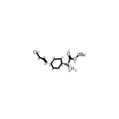 CN(C(=O)OC(C)(C)C)[C@H]1CC[C@H](C=CCCl)CC1